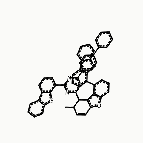 CC1C=Cc2oc3cccc(-c4cccc5c4oc4ccccc45)c3c2C1c1nc(-c2ccc(-c3ccccc3)cc2)nc(-c2cccc3c2sc2ccccc23)n1